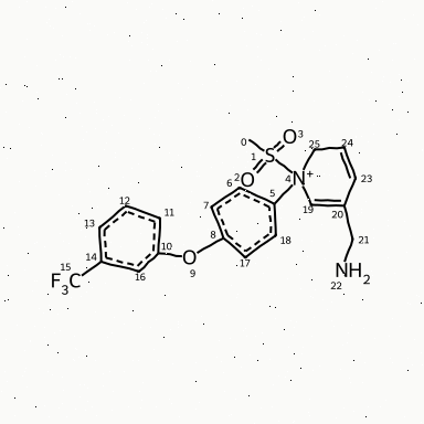 CS(=O)(=O)[N+]1(c2ccc(Oc3cccc(C(F)(F)F)c3)cc2)C=C(CN)C=CC1